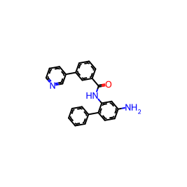 Nc1ccc(-c2ccccc2)c(NC(=O)c2cccc(-c3cccnc3)c2)c1